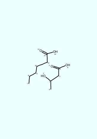 CC(O)CC(=O)O.CCCCCC(=O)O